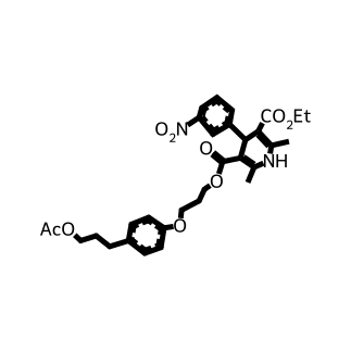 CCOC(=O)C1=C(C)NC(C)=C(C(=O)OCCCOc2ccc(CCCOC(C)=O)cc2)C1c1cccc([N+](=O)[O-])c1